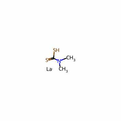 CN(C)C(=S)S.[La]